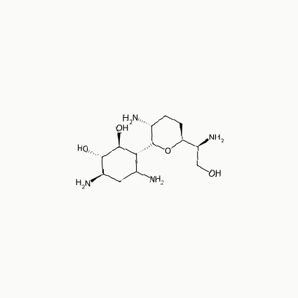 NC1C[C@@H](N)[C@H](O)[C@@H](O)[C@@H]1C1O[C@H]([C@@H](N)CO)CC[C@H]1N